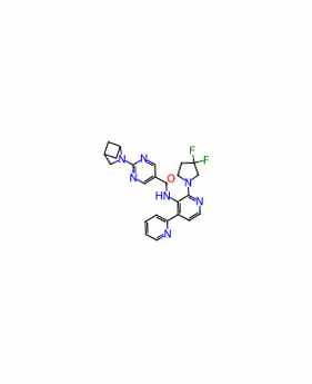 O=C(Nc1c(-c2ccccn2)ccnc1N1CCC(F)(F)C1)c1cnc(N2CC3CC2C3)nc1